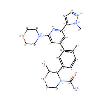 Cc1ccc(C2C(C(F)(F)F)OCCN2C(N)=O)cc1-c1cc(-c2ccnn2C)nc(N2CCOCC2)c1